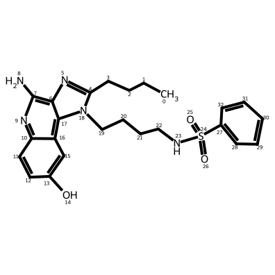 CCCCc1nc2c(N)nc3ccc(O)cc3c2n1CCCCNS(=O)(=O)c1ccccc1